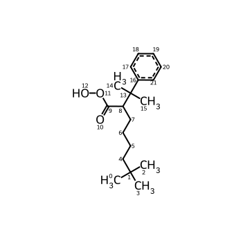 CC(C)(C)CCCCC(C(=O)OO)C(C)(C)c1ccccc1